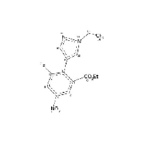 CCOC(=O)c1cc([N+](=O)[O-])cc(F)c1-c1cnn(CC(F)(F)F)c1